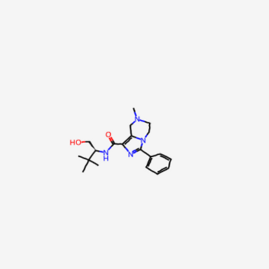 CN1CCn2c(-c3ccccc3)nc(C(=O)N[C@H](CO)C(C)(C)C)c2C1